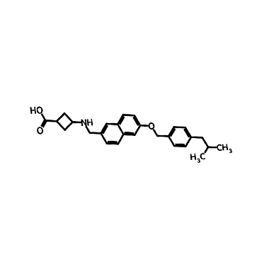 CC(C)Cc1ccc(COc2ccc3cc(CNC4CC(C(=O)O)C4)ccc3c2)cc1